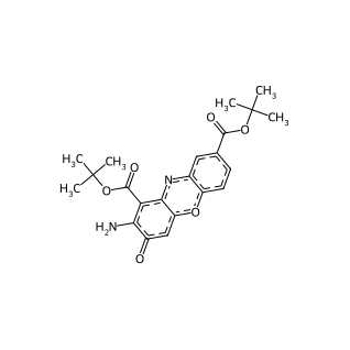 CC(C)(C)OC(=O)c1ccc2oc3cc(=O)c(N)c(C(=O)OC(C)(C)C)c-3nc2c1